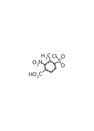 Cc1c(S(=O)(=O)Cl)ccc(C(=O)O)c1[N+](=O)[O-]